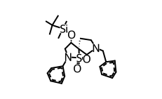 CC(C)(C)[Si](C)(C)O[C@H]1CN(c2ccccc2)S(=O)(=O)[C@@]12CCN(Cc1ccccc1)C2